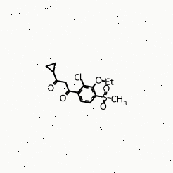 CCOc1c(S(C)(=O)=O)ccc(C(=O)CC(=O)C2CC2)c1Cl